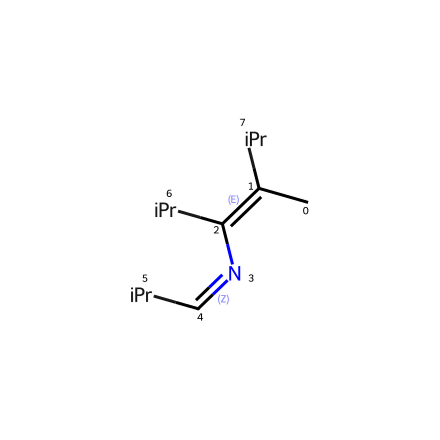 C/C(=C(\N=C/C(C)C)C(C)C)C(C)C